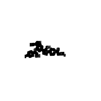 C=CC(=O)N1CCC(n2ncc(-c3cc(OC(CO)c4ccc(F)cn4)c4c(C#N)cnn4c3)c2C)CC1